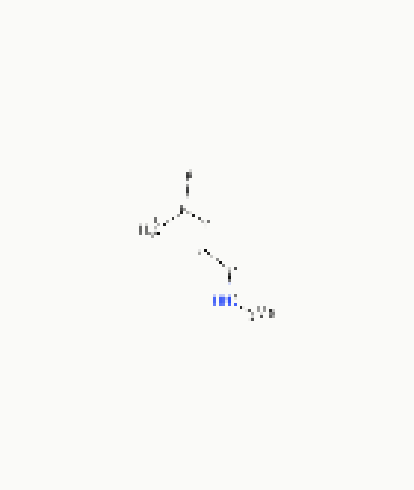 CCC(C)CCCNNC